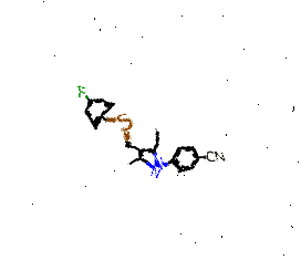 Cc1nn(-c2ccc(C#N)cc2)c(C)c1CSc1ccc(F)cc1